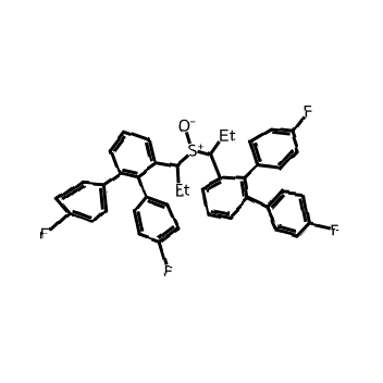 CCC(c1cccc(-c2ccc(F)cc2)c1-c1ccc(F)cc1)[S+]([O-])C(CC)c1cccc(-c2ccc(F)cc2)c1-c1ccc(F)cc1